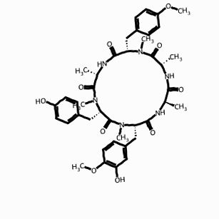 COc1ccc(C[C@H]2C(=O)N[C@@H](C)C(=O)N(C)[C@@H](Cc3ccc(O)cc3)C(=O)N(C)[C@@H](Cc3ccc(OC)c(O)c3)C(=O)N[C@H](C)C(=O)N[C@@H](C)C(=O)N2C)cc1